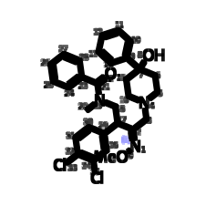 CO/N=C(/CN1CCC(O)(c2ccccc2)CC1)C(CN(C)C(=O)c1ccccc1)c1ccc(Cl)c(Cl)c1